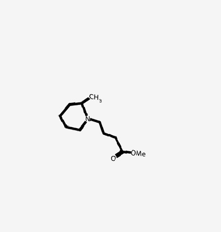 COC(=O)CCCN1CCCCC1C